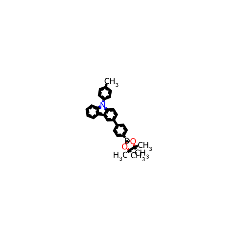 Cc1ccc(-n2c3ccccc3c3cc(-c4ccc(B5OC(C)(C)C(C)(C)O5)cc4)ccc32)cc1